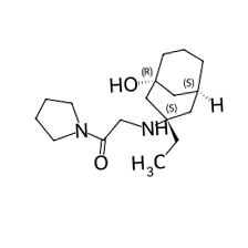 CC[C@]1(NCC(=O)N2CCCC2)C[C@@H]2CCC[C@@](O)(C2)C1